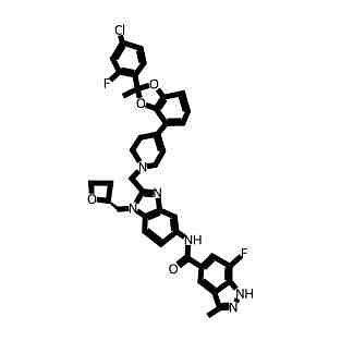 Cc1n[nH]c2c(F)cc(C(=O)Nc3ccc4c(c3)nc(CN3CC=C(c5cccc6c5OC(C)(c5ccc(Cl)cc5F)O6)CC3)n4C[C@@H]3CCO3)cc12